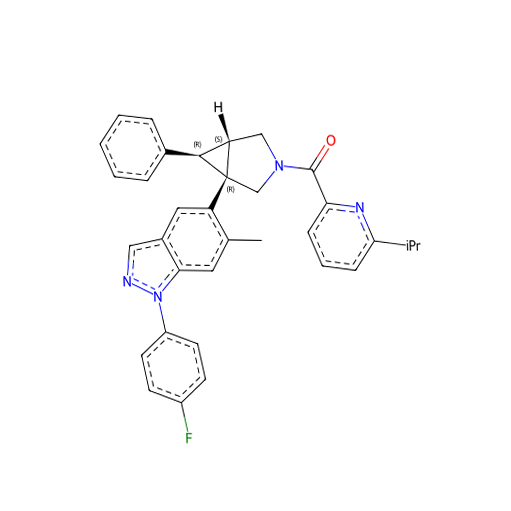 Cc1cc2c(cnn2-c2ccc(F)cc2)cc1[C@]12CN(C(=O)c3cccc(C(C)C)n3)C[C@H]1[C@@H]2c1ccccc1